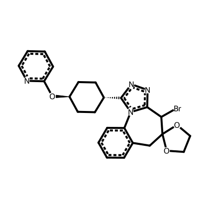 BrC1c2nnc([C@H]3CC[C@H](Oc4ccccn4)CC3)n2-c2ccccc2CC12OCCO2